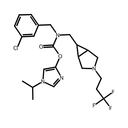 CC(C)n1cnc(OC(=O)N(Cc2cccc(Cl)c2)CC2C3CN(CCC(F)(F)F)CC32)c1